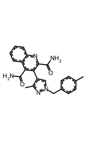 Cc1ccc(Cn2cc(-c3c(C(N)=O)nc4ccccc4c3C(N)=O)c(C)n2)cc1